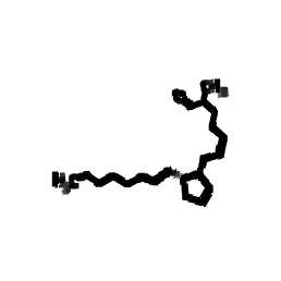 CCCCCC/C=C/[C@H]1CCC[C@@H]1C/C=C\CCC(C)C=O